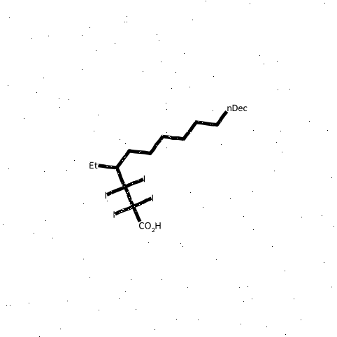 CCCCCCCCCCCCCCCCC(CC)C(I)(I)C(I)(I)C(=O)O